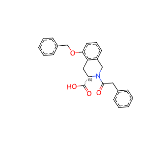 O=C(O)[C@@H]1Cc2c(cccc2OCc2ccccc2)CN1C(=O)Cc1ccccc1